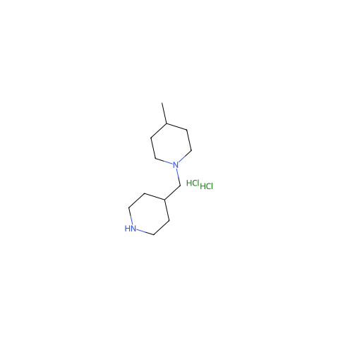 CC1CCN(CC2CCNCC2)CC1.Cl.Cl